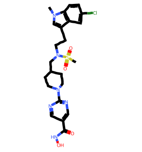 Cn1cc(CCN(CC2CCN(c3ncc(C(=O)NO)cn3)CC2)S(C)(=O)=O)c2cc(Cl)ccc21